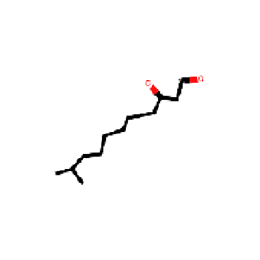 CC(C)CCCCCCC(=O)C[C]=O